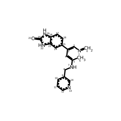 C=N/C=C(\C=C(/C)NCc1cccnc1)c1ccc2[nH]c(=O)[nH]c2c1